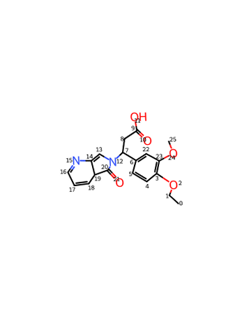 CCOc1ccc(C(CC(=O)O)N2C=C3N=CC=CC3C2=O)cc1OC